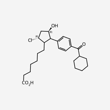 O=C(O)CCCCCCC1C(c2ccc(C(=O)C3CCCCC3)cc2)[C@H](O)C[C@H]1Cl